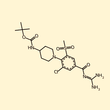 CC(C)(C)OC(=O)NC1CCN(c2c(Cl)cc(C(=O)N=C(N)N)cc2S(C)(=O)=O)CC1